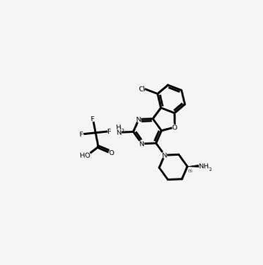 Nc1nc(N2CCC[C@H](N)C2)c2oc3cccc(Cl)c3c2n1.O=C(O)C(F)(F)F